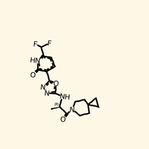 C[C@@H](Nc1nnc(-c2ccc(C(F)F)[nH]c2=O)o1)C(=O)N1CCC2(CC1)CC2